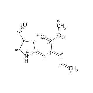 C=C/C=C(\C=C1/CC(C=O)CN1)C(=O)OC